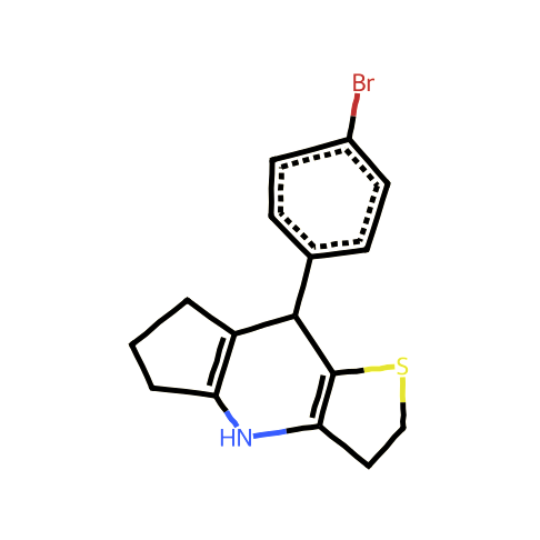 Brc1ccc(C2C3=C(CCC3)NC3=C2SCC3)cc1